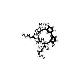 NCCC[C@@H]1NC(=O)[C@@H](N)Cc2cc(ccc2O)-c2ccc(F)c(c2)C[C@@H](C(=O)NCCN)NC1=O